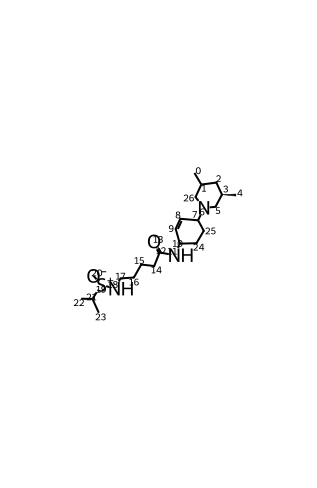 CC1C[C@@H](C)CN(C2C=C[C@H](NC(=O)CCCCN[S+]([O-])C(C)C)CC2)C1